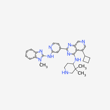 Cn1c(Nc2cc(-c3nc(NC4CCNCC4(C)C)c4c(C5CCC5)cncc4n3)ccn2)nc2ccccc21